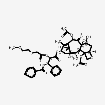 C=C1[C@H](OC(C)=O)C2=C(C)[C@@H](OC(=O)[C@H](OC(=O)COCCOC)[C@@H](NC(=O)c3ccccc3)c3ccccc3)C[C@@](O)([C@@H](O)[C@@H]3C4(OC(C)=O)CO[C@@H]4C[C@H](O)[C@@]13C)C2(C)C